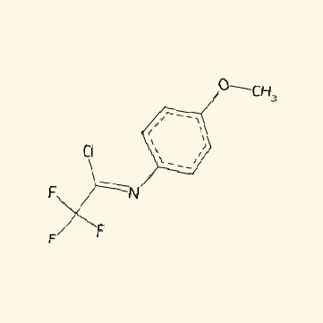 COc1ccc(/N=C(\Cl)C(F)(F)F)cc1